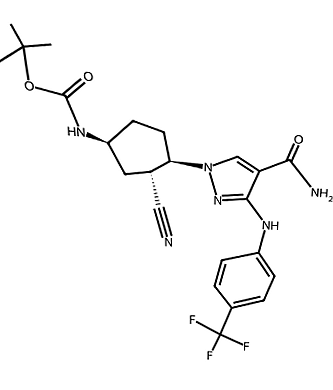 CC(C)(C)OC(=O)N[C@H]1CC[C@@H](n2cc(C(N)=O)c(Nc3ccc(C(F)(F)F)cc3)n2)[C@H](C#N)C1